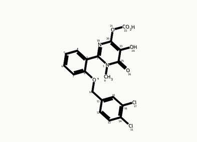 Cn1c(-c2ccccc2OCc2ccc(Cl)c(Cl)c2)nc(OC(=O)O)c(O)c1=O